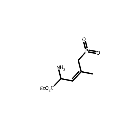 CCOC(=O)C(N)C=C(C)CP(=O)=O